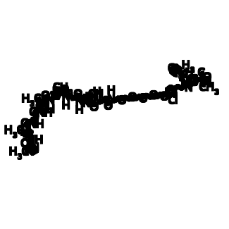 Cc1noc(C)c1-c1ccc2c(c1)nc(CCc1ccc(OCCOCCOCCOCCOCCNC(=O)CCNC(=O)c3nc(NC(=O)CCNC(=O)c4cc(NC(=O)c5nc(NC(=O)CCNC(=O)c6cc(NC(=O)c7nccn7C)cn6C)cn5C)cn4C)cn3C)c(Cl)c1)n2C[C@H](C)N1CCOCC1